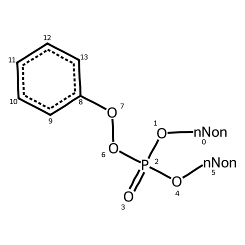 CCCCCCCCCOP(=O)(OCCCCCCCCC)OOc1ccccc1